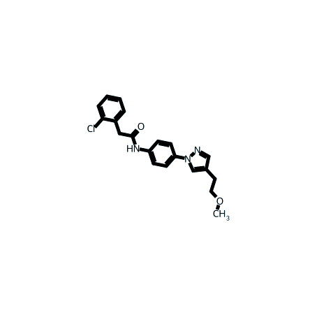 COCCc1cnn(-c2ccc(NC(=O)Cc3ccccc3Cl)cc2)c1